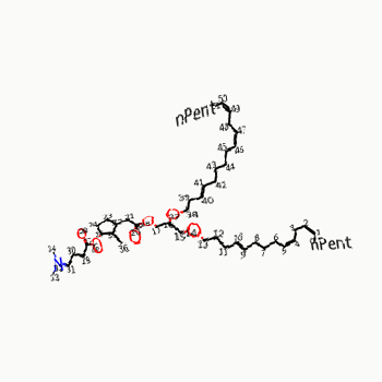 CCCCC/C=C\C/C=C\CCCCCCCCOCC(COC(=O)CC1CCC(OC(=O)CCCN(C)C)C1C)OCCCCCCCC/C=C\C/C=C\CCCCC